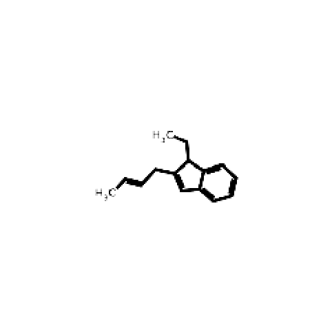 C/C=C/CC1=Cc2ccccc2C1CC